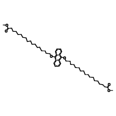 COC(=O)CCCCCCCCCCCCCCCCCOc1c2ccccc2c(OCCCCCCCCCCCCCCCCCC(=O)OC)c2ccccc12